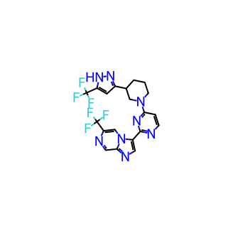 FC(F)(F)c1cn2c(-c3nccc(N4CCCC(c5cc(C(F)(F)F)[nH]n5)C4)n3)cnc2cn1